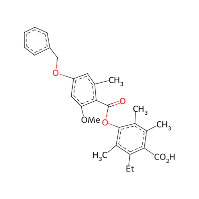 CCc1c(C)c(OC(=O)c2c(C)cc(OCc3ccccc3)cc2OC)c(C)c(C)c1C(=O)O